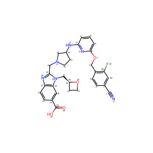 N#Cc1ccc(COc2cccc(NC3CCN(Cc4nc5ccc(C(=O)O)cc5n4C[C@@H]4CCO4)C3)n2)c(F)c1